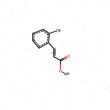 CCCOC(=O)/C=C/c1ccccc1C#N